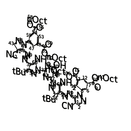 [C-]#[N+]c1cnn(-c2cc(C(=O)OCCCCCCCC)cc(C(=O)OCCCCCCCC)c2)c1N=Nc1c(C(C)(C)C)nn(-c2nc(O)nc(-n3nc(C(C)(C)C)c(N=Nc4c(C#N)cnn4-c4cc(C(=O)OCCCCCCCC)cc(C(=O)OCCCCCCCC)c4)c3N)n2)c1N